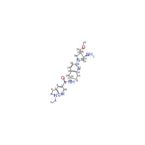 CCN1CCc2cc(C(=O)N[C@H]3CCc4nc(N5C[C@@H](COC)[C@@H](N)C5)ccc4C3)cnc21